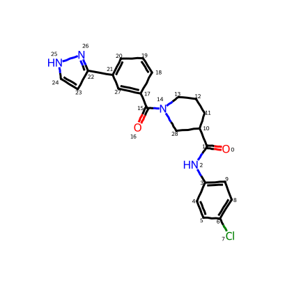 O=C(Nc1ccc(Cl)cc1)C1CCCN(C(=O)c2cccc(-c3cc[nH]n3)c2)C1